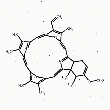 C=Cc1c(C)c2cc3nc(cc4[nH]c(cc5nc(cc1[nH]2)C(C)=C5C)c(C)c4C)C1(C)C(C)C(OC=O)=CCC31